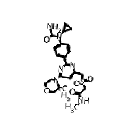 CNC(=O)CS(=O)(=O)Cc1cc(N2CCOC[C@@H]2C)nc(-c2ccc(N(C(N)=O)C3CC3)cc2)n1